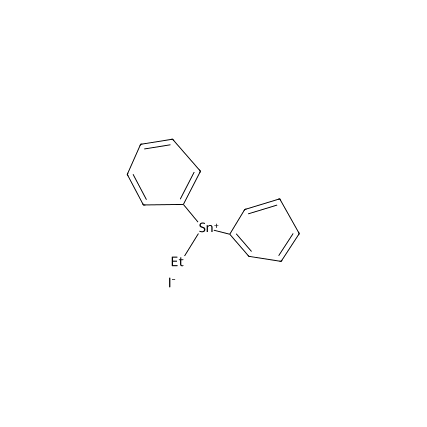 C[CH2][Sn+]([c]1ccccc1)[c]1ccccc1.[I-]